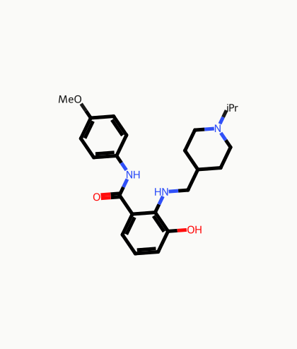 COc1ccc(NC(=O)c2cccc(O)c2NCC2CCN(C(C)C)CC2)cc1